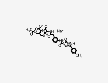 CC(=O)OCC1=C(C(=O)[O-])N2C(=O)C(NC(=O)Cc3cccc(NC(=O)N4CC5C(c6ccc(C)cc6)NN5C4=O)c3)[C@@H]2SC1.[Na+]